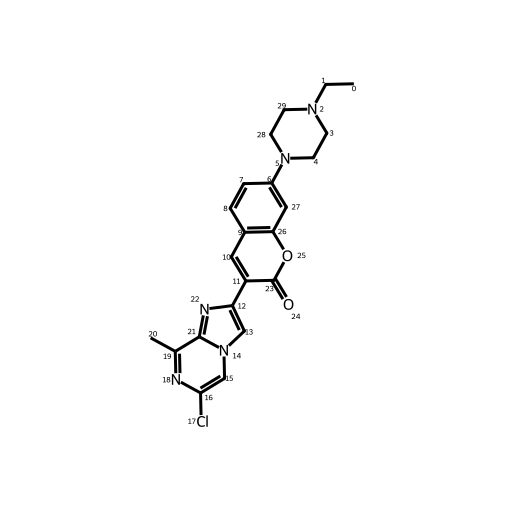 CCN1CCN(c2ccc3cc(-c4cn5cc(Cl)nc(C)c5n4)c(=O)oc3c2)CC1